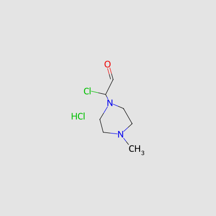 CN1CCN(C(Cl)C=O)CC1.Cl